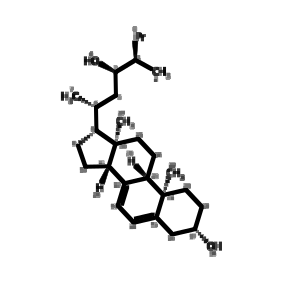 CC(C)[C@@H](C)[C@H](O)C[C@@H](C)[C@H]1CC[C@H]2C3=CC=C4C[C@@H](O)CC[C@]4(C)[C@H]3CC[C@]12C